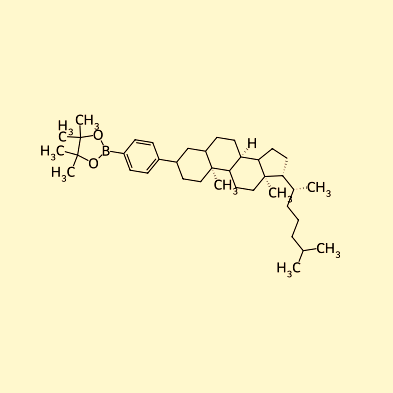 CC(C)CCC[C@@H](C)[C@H]1CCC2[C@@H]3CCC4CC(c5ccc(B6OC(C)(C)C(C)(C)O6)cc5)CC[C@]4(C)C3CC[C@@]21C